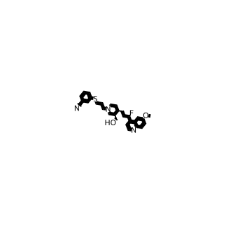 COc1ccc2nccc([C@@H](F)CC[C@@H]3CCN(CCCSc4cccc(C#N)c4)C[C@@H]3CO)c2c1